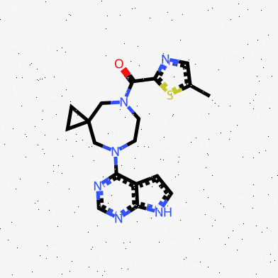 Cc1cnc(C(=O)N2CCN(c3ncnc4[nH]ccc34)CC3(CC3)C2)s1